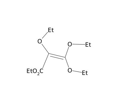 CCOC(=O)C(OCC)=C(OCC)OCC